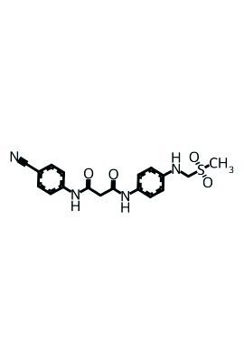 CS(=O)(=O)CNc1ccc(NC(=O)CC(=O)Nc2ccc(C#N)cc2)cc1